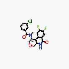 CN(C(=O)c1cccc(Cl)c1)[C@@H]1COCc2[nH]c(=O)c3cc(F)c(F)cc3c21